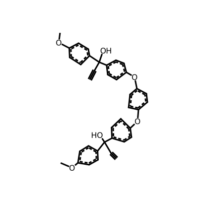 C#CC(O)(c1ccc(OC)cc1)c1ccc(Oc2ccc(Oc3ccc(C(O)(C#C)c4ccc(OC)cc4)cc3)cc2)cc1